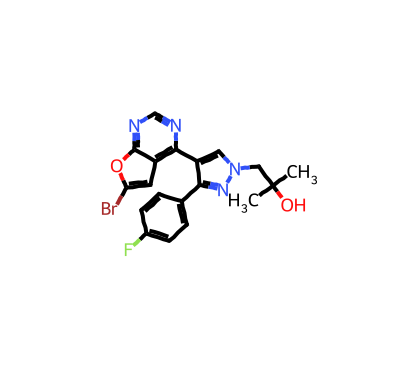 CC(C)(O)Cn1cc(-c2ncnc3oc(Br)cc23)c(-c2ccc(F)cc2)n1